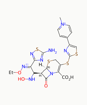 CCO/N=C(/c1nsc(N)n1)C(NO)[C@@H]1C(=O)N2C(C(=O)O)=C(Sc3nc(-c4cc[n+](C)cc4)cs3)CS[C@H]12